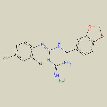 CCc1cc(Cl)ccc1N=C(NCc1ccc2c(c1)OCO2)NC(=N)N.Cl